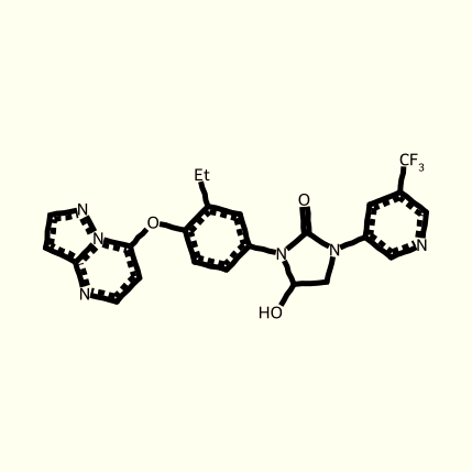 CCc1cc(N2C(=O)N(c3cncc(C(F)(F)F)c3)CC2O)ccc1Oc1ccnc2ccnn12